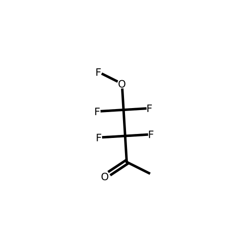 CC(=O)C(F)(F)C(F)(F)OF